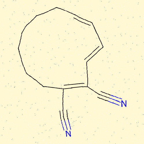 N#CC1=C(/C#N)CCCCCC\C=C/C=C/1